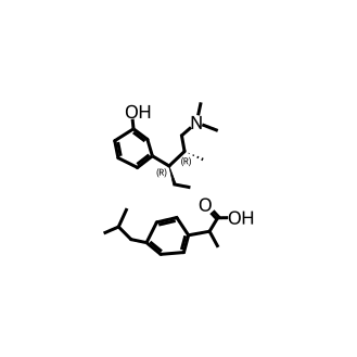 CC(C)Cc1ccc(C(C)C(=O)O)cc1.CC[C@@H](c1cccc(O)c1)[C@@H](C)CN(C)C